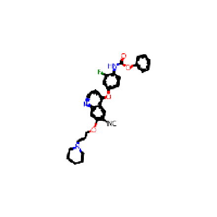 [C-]#[N+]c1cc2c(Oc3ccc(NC(=O)Oc4ccccc4)c(F)c3)ccnc2cc1OCCCN1CCCCC1